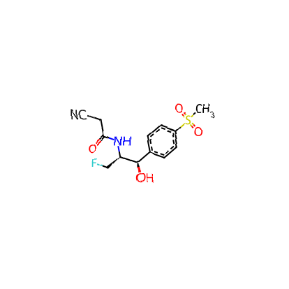 CS(=O)(=O)c1ccc([C@@H](O)[C@@H](CF)NC(=O)CC#N)cc1